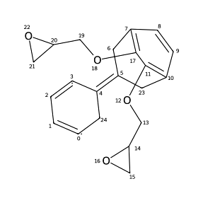 [C]1=CC=[C]C(=C2Cc3ccc(c(OCC4CO4)c3OCC3CO3)C2)C1